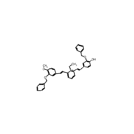 CC[n+]1c(/C=C/c2ccc(O)c(OCc3ccccc3)c2)cccc1/C=C/c1ccc(OC)c(OCc2ccccc2)c1